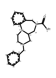 CCCC(=O)N1Cc2ccccc2N2CCN(Cc3ccccc3)CC2C1